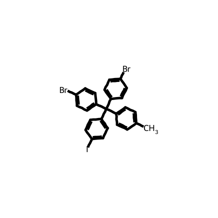 Cc1ccc(C(c2ccc(Br)cc2)(c2ccc(Br)cc2)c2ccc(I)cc2)cc1